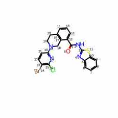 O=C(Nc1nc2ccccc2s1)c1cccc2c1CN(c1ccc(Br)c(Cl)n1)CC2